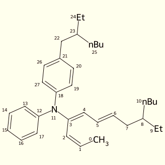 C/C=C\C(=C/C=CCC(CC)CCCC)N(c1ccccc1)c1ccc(CC(CC)CCCC)cc1